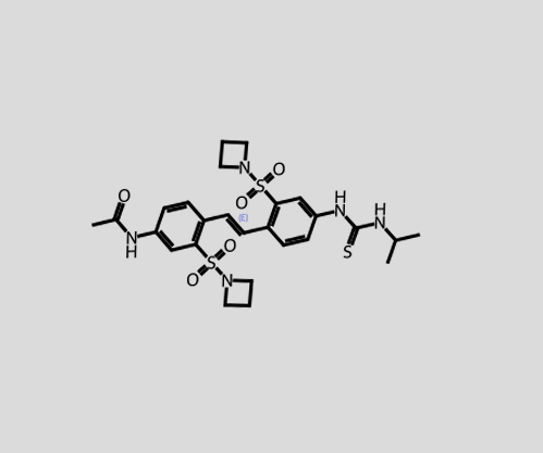 CC(=O)Nc1ccc(/C=C/c2ccc(NC(=S)NC(C)C)cc2S(=O)(=O)N2CCC2)c(S(=O)(=O)N2CCC2)c1